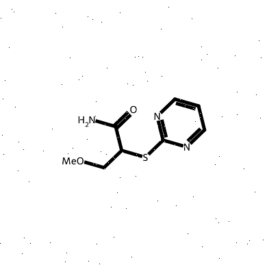 COCC(Sc1ncccn1)C(N)=O